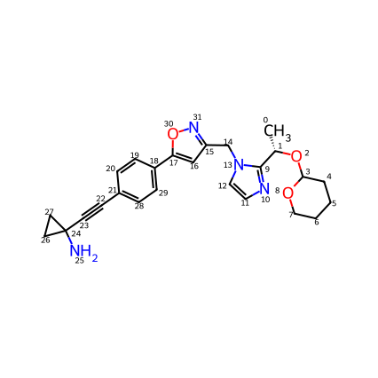 C[C@H](OC1CCCCO1)c1nccn1Cc1cc(-c2ccc(C#CC3(N)CC3)cc2)on1